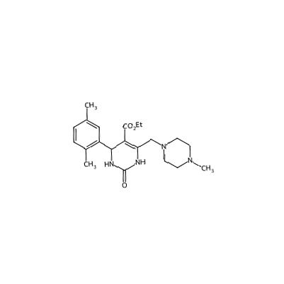 CCOC(=O)C1=C(CN2CCN(C)CC2)NC(=O)NC1c1cc(C)ccc1C